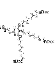 CCCCCCCCCCCCCCCCCCOc1cc(CCSC#N)cc(OCCCCCCCCCCCCCCCCCC)c1OCCCCCCCCCCCCCCCCCC